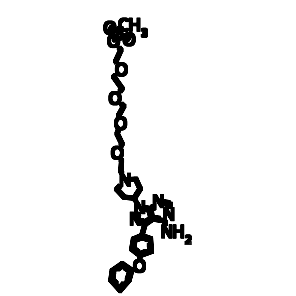 CS(=O)(=O)OCCOCCOCCOCCOCCN1CCC(n2nc(-c3ccc(Oc4ccccc4)cc3)c3c(N)ncnc32)CC1